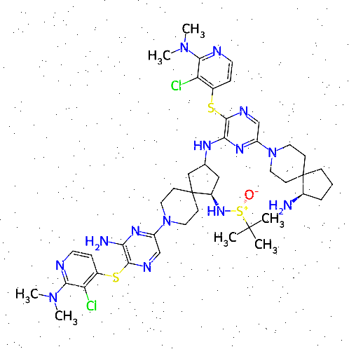 CN(C)c1nccc(Sc2ncc(N3CCC4(CC3)CC(Nc3nc(N5CCC6(CCC[C@H]6N)CC5)cnc3Sc3ccnc(N(C)C)c3Cl)C[C@H]4N[S@+]([O-])C(C)(C)C)nc2N)c1Cl